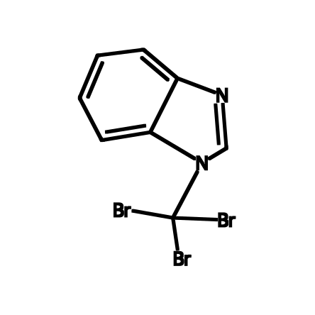 BrC(Br)(Br)n1cnc2ccccc21